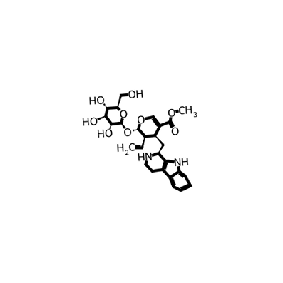 C=C[C@H]1[C@H](O[C@@H]2O[C@H](CO)[C@@H](O)[C@H](O)[C@H]2O)OC=C(C(=O)OC)[C@H]1C[C@@H]1NCCc2c1[nH]c1ccccc21